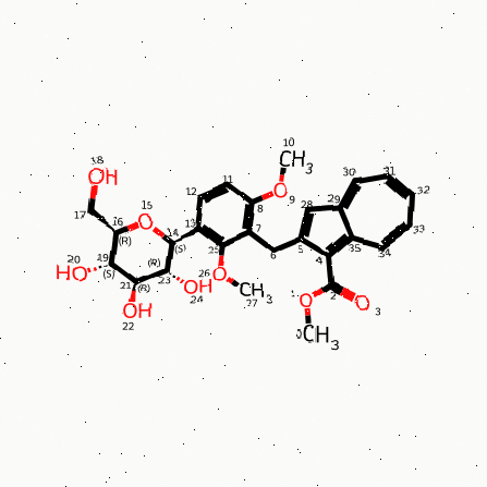 COC(=O)c1c(Cc2c(OC)ccc([C@@H]3O[C@H](CO)[C@@H](O)[C@H](O)[C@H]3O)c2OC)cc2cccccc1-2